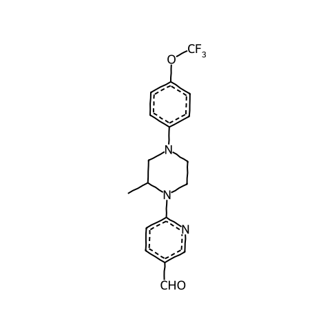 CC1CN(c2ccc(OC(F)(F)F)cc2)CCN1c1ccc(C=O)cn1